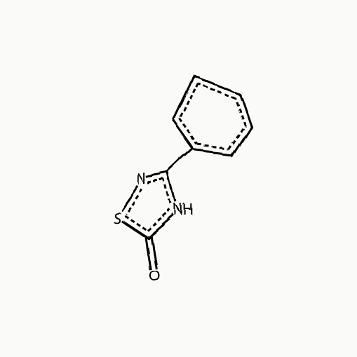 O=c1[nH]c(-c2ccccc2)ns1